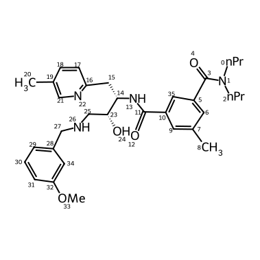 CCCN(CCC)C(=O)c1cc(C)cc(C(=O)N[C@@H](Cc2ccc(C)cn2)[C@H](O)CNCc2cccc(OC)c2)c1